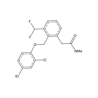 CCc1ccc(OCc2c(CC(=O)NC)cccc2C(F)F)c(Cl)c1